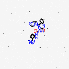 CN1CCN(C2=N[C@@H](NC(=O)Nc3cccc(-c4nnnn4C)c3)C(=O)N(C)c3ccccc32)CC1